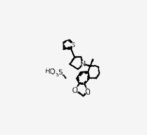 CC1(N2CCC(c3cccs3)C2)CCCc2c1ccc1c2OCO1.CS(=O)(=O)O